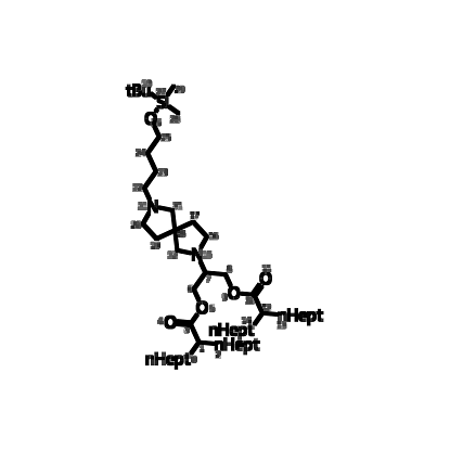 CCCCCCCC(CCCCCCC)C(=O)OCC(COC(=O)C(CCCCCCC)CCCCCCC)N1CCC2(CCN(CCCCO[Si](C)(C)C(C)(C)C)C2)C1